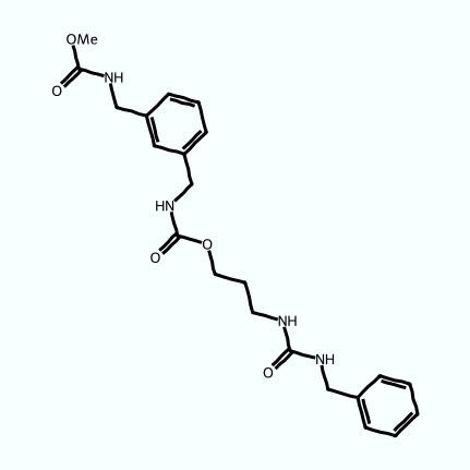 COC(=O)NCc1cccc(CNC(=O)OCCCNC(=O)NCc2ccccc2)c1